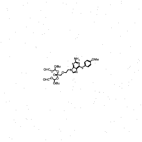 COc1ccc(Sc2nc(N)nc3c2ncn3CCOCP(=O)(OC(OC=O)OCC(C)C)OC(OC=O)OCC(C)C)cc1